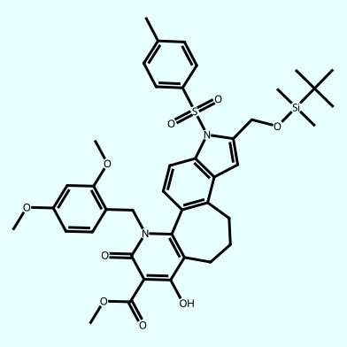 COC(=O)c1c(O)c2c(n(Cc3ccc(OC)cc3OC)c1=O)-c1ccc3c(cc(CO[Si](C)(C)C(C)(C)C)n3S(=O)(=O)c3ccc(C)cc3)c1CCC2